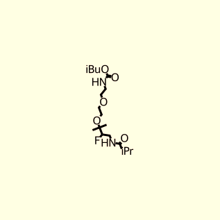 CC(C)COC(=O)NCCOCCOC(C)(C)C(F)CNC(=O)C(C)C